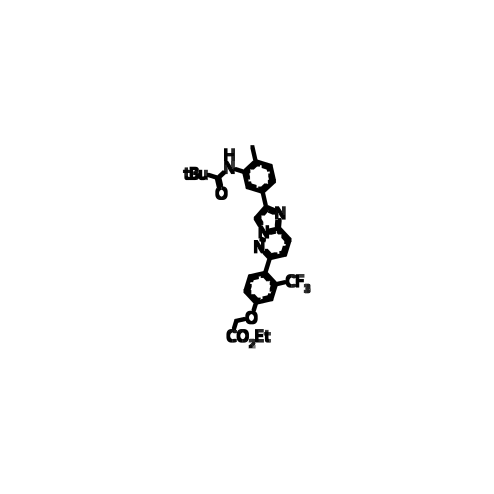 CCOC(=O)COc1ccc(-c2ccc3nc(-c4ccc(C)c(NC(=O)C(C)(C)C)c4)cn3n2)c(C(F)(F)F)c1